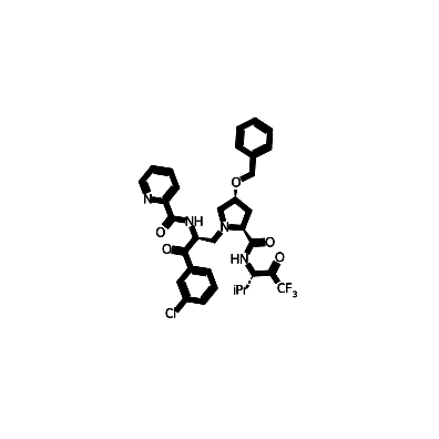 CC(C)[C@H](NC(=O)[C@@H]1C[C@@H](OCc2ccccc2)CN1C[C@H](NC(=O)c1ccccn1)C(=O)c1cccc(Cl)c1)C(=O)C(F)(F)F